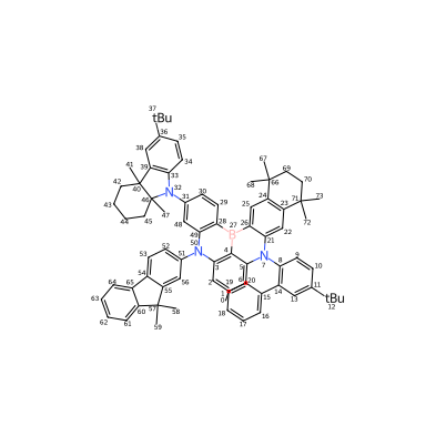 Cc1cc2c3c(c1)N(c1ccc(C(C)(C)C)cc1-c1ccccc1)c1cc4c(cc1B3c1ccc(N3c5ccc(C(C)(C)C)cc5C5(C)CCCCC35C)cc1N2c1ccc2c(c1)C(C)(C)c1ccccc1-2)C(C)(C)CCC4(C)C